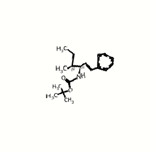 CC[C@H](C)[C@@H](C=Cc1ccccc1)NC(=O)OC(C)(C)C